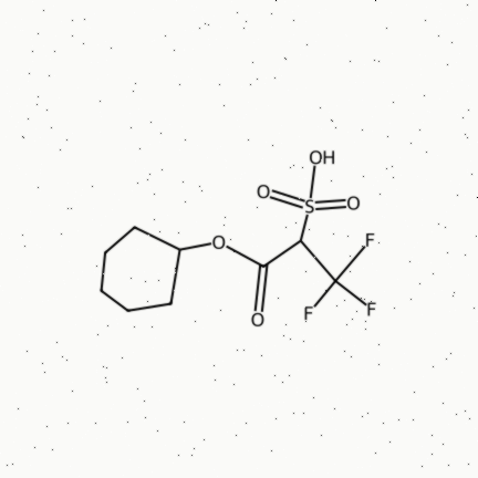 O=C(OC1CCCCC1)C(C(F)(F)F)S(=O)(=O)O